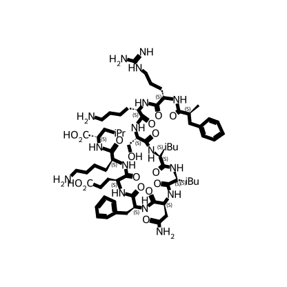 CC[C@H](C)[C@H](NC(=O)[C@H](CO)NC(=O)[C@H](CCCCN)NC(=O)[C@H](CCCNC(=N)N)NC(=O)[C@@H](C)Cc1ccccc1)C(=O)N[C@H](C(=O)N[C@@H](CC(N)=O)C(=O)N[C@@H](Cc1ccccc1)C(=O)N[C@@H](CCC(=O)O)C(=O)N[C@@H](CCCCN)C(=O)N[C@@H](CC(C)C)C(=O)O)[C@@H](C)CC